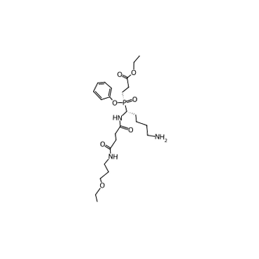 CCOCCCNC(=O)CCC(=O)N[C@@H](CCCCN)[P@@](=O)(CCC(=O)OCC)Oc1ccccc1